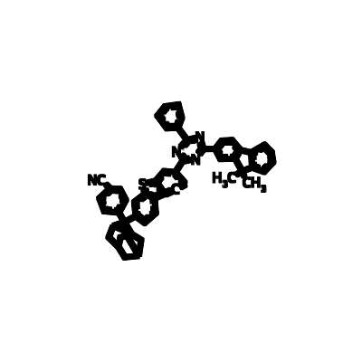 CC1(C)c2ccccc2-c2ccc(-c3nc(-c4ccccc4)nc(-c4ccc5c(c4)sc4cc(C6(c7ccc(C#N)cc7)C7CC8CC(C7)CC6C8)ccc45)n3)cc21